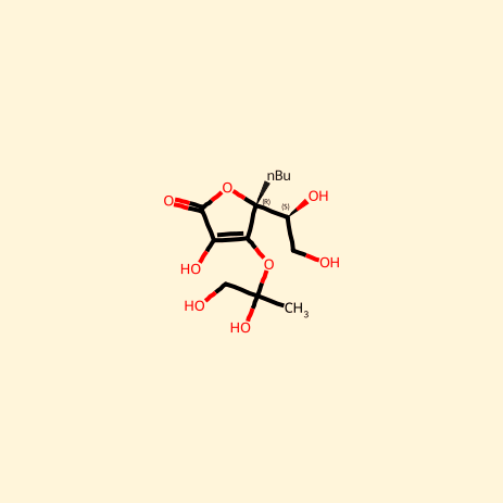 CCCC[C@]1([C@@H](O)CO)OC(=O)C(O)=C1OC(C)(O)CO